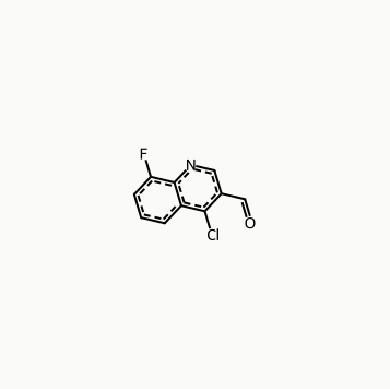 O=Cc1cnc2c(F)cccc2c1Cl